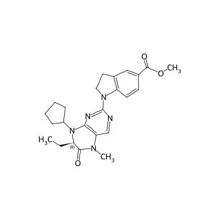 CC[C@@H]1C(=O)N(C)c2cnc(N3CCc4cc(C(=O)OC)ccc43)nc2N1C1CCCC1